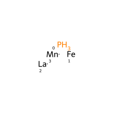 P.[Fe].[La].[Mn]